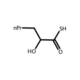 CCCCC(O)C(=O)S